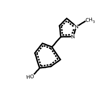 Cn1ccc(-c2ccc(O)cc2)n1